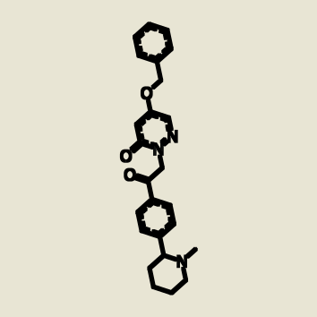 CN1CCCCC1c1ccc(C(=O)Cn2ncc(OCc3ccccc3)cc2=O)cc1